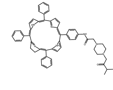 CC(C)C(=O)CN1CCN(CC(=O)Nc2ccc(-c3c4nc(c(-c5ccccc5)c5ccc([nH]5)c(-c5ccccc5)c5nc(c(-c6ccccc6)c6ccc3[nH]6)CC5)C=C4)cc2)CC1